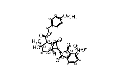 COc1ccc(COC(=O)C2N3C(=O)C(N4C(=O)c5cccc([N+](=O)[O-])c5C4=O)[C@@H]3SC[C@@]2(C)O)cc1